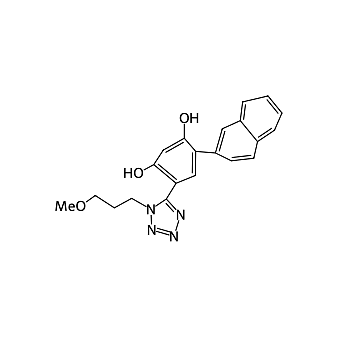 COCCCn1nnnc1-c1cc(-c2ccc3ccccc3c2)c(O)cc1O